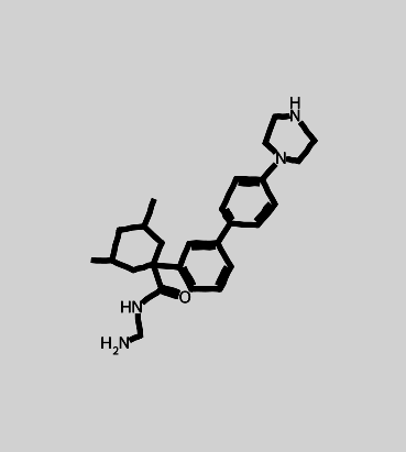 CC1CC(C)CC(C(=O)NCN)(c2cccc(-c3ccc(N4CCNCC4)cc3)c2)C1